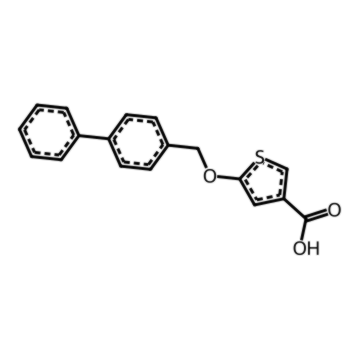 O=C(O)c1csc(OCc2ccc(-c3ccccc3)cc2)c1